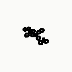 c1ccc(-n2c3ccccc3c3ccc4ccccc4c32)c(-c2ccc(N(c3ccc(-c4cccc5c4sc4ccccc45)cc3)c3ccc4ccccc4c3)cc2)c1